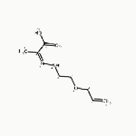 C=CCOCCNN=C(C)C(=O)O